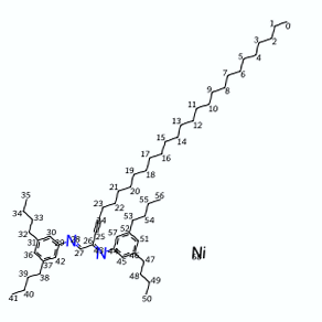 CCCCCCCCCCCCCCCCCCCCCCCCC#CC(/C=N/c1cc(CCCC)cc(CCCC)c1)=N\c1cc(CCCC)cc(CCCC)c1.[Ni]